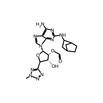 Cn1nnc(C2O[C@@H](n3cnc4c(N)nc(NC5CC6CCC5C6)nc43)[C@H](OC=O)[C@@H]2O)n1